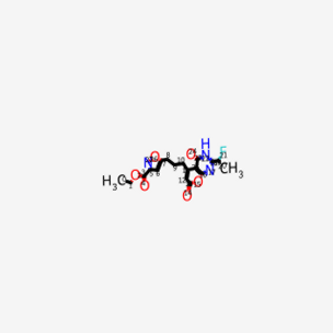 CCOC(=O)c1cc(CCCc2cc(=O)oc3nc(C(C)F)[nH]c(=O)c23)on1